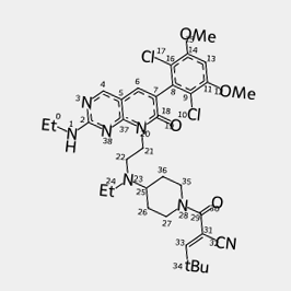 CCNc1ncc2cc(-c3c(Cl)c(OC)cc(OC)c3Cl)c(=O)n(CCN(CC)C3CCN(C(=O)C(C#N)=CC(C)(C)C)CC3)c2n1